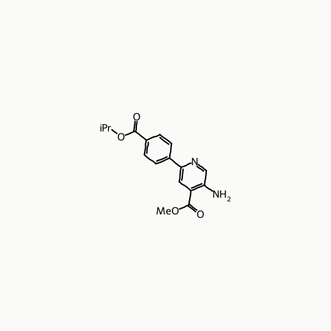 COC(=O)c1cc(-c2ccc(C(=O)OC(C)C)cc2)ncc1N